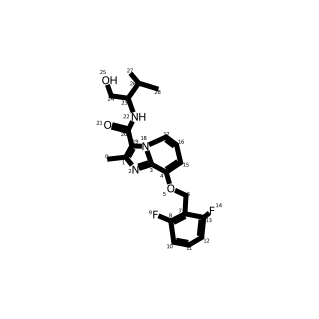 Cc1nc2c(OCc3c(F)cccc3F)cccn2c1C(=O)NC(CO)C(C)C